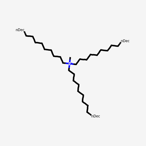 CCCCCCCCCCCCCCCCCCC[N+](C)(CCCCCCCCCCCCCCCCCCC)CCCCCCCCCCCCCCCCCCC